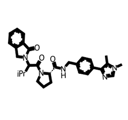 Cc1c(-c2ccc(CNC(=O)[C@@H]3CCCN3C(=O)C(C(C)C)N3Cc4ccccc4C3=O)cc2)ncn1C